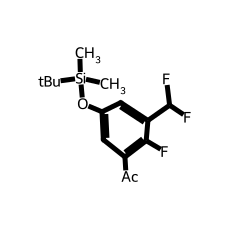 CC(=O)c1cc(O[Si](C)(C)C(C)(C)C)cc(C(F)F)c1F